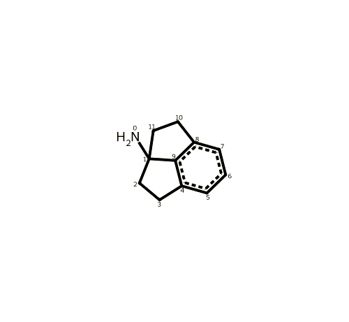 NC12CCc3cccc(c31)CC2